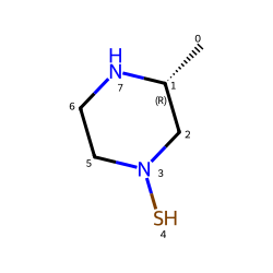 C[C@@H]1CN(S)CCN1